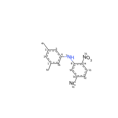 Cc1cc(C)cc(Nc2cc(C#N)ccc2[N+](=O)[O-])c1